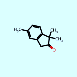 Cc1ccc2c(c1)CC(=O)C2(C)C